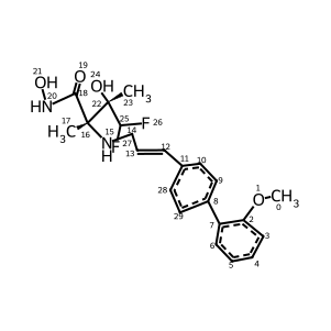 COc1ccccc1-c1ccc(/C=C/CN[C@](C)(C(=O)NO)[C@](C)(O)C(F)F)cc1